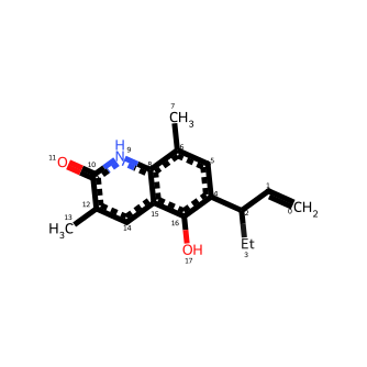 C=CC(CC)c1cc(C)c2[nH]c(=O)c(C)cc2c1O